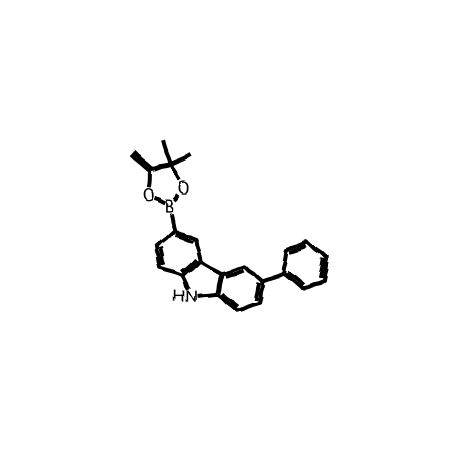 C=C1OB(c2ccc3[nH]c4ccc(-c5ccccc5)cc4c3c2)OC1(C)C